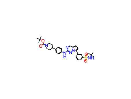 CC(C)(C)NS(=O)(=O)c1cccc(-c2ccc3cnc(Nc4ccc(C5CCN(C(=O)OC(C)(C)C)CC5)cc4)nn23)c1